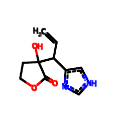 C=CC(c1c[nH]cn1)C1(O)CCOC1=O